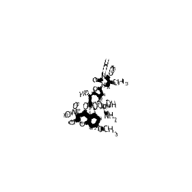 COc1ccc2c(OC(=O)C(O)[C@H]3O[C@@H](n4cc(C)c(=O)[nH]c4=O)C[C@@H]3OP(N)O)c([N+](=O)[O-])c(=O)oc2c1